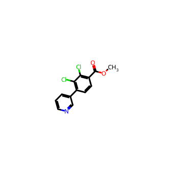 COC(=O)c1ccc(-c2cccnc2)c(Cl)c1Cl